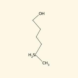 C[SiH2]CCCCO